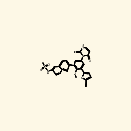 COc1c(-c2ccc3cc(NS(C)(=O)=O)ccc3c2)cc(-n2c(=O)cc[nH]c2=O)cc1-c1ccc(C)s1